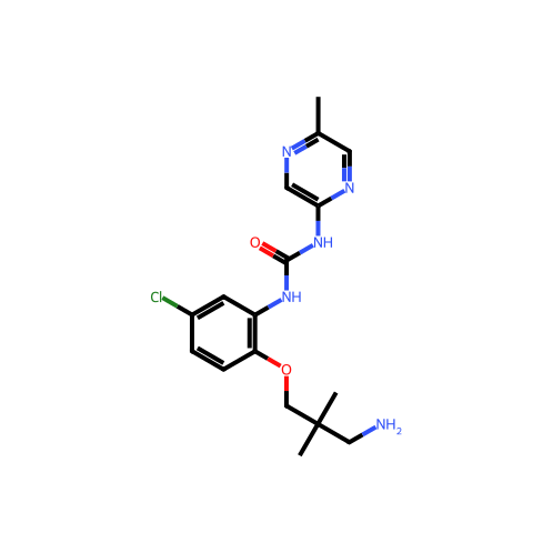 Cc1cnc(NC(=O)Nc2cc(Cl)ccc2OCC(C)(C)CN)cn1